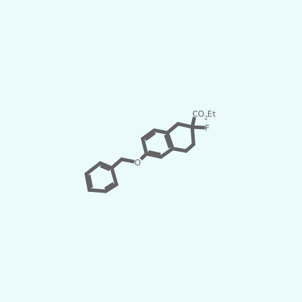 CCOC(=O)C1(F)CCc2cc(OCc3ccccc3)ccc2C1